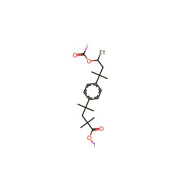 CCC(CC(C)(C)c1ccc(C(C)(C)CC(C)(C)C(=O)OI)cc1)OC(=O)I